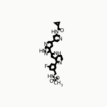 CS(=O)(=O)NCc1cc(F)cc(-c2nccc3[nH]c(-c4n[nH]c5ncc(-c6cncc(NC(=O)C7CC7)c6)cc45)cc23)c1